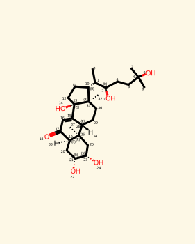 CC([C@H](O)CCC(C)(C)O)[C@H]1CC[C@@]2(O)C3=CC(=O)[C@@H]4C[C@@H](O)[C@@H](O)C[C@]4(C)[C@H]3CC[C@]12C